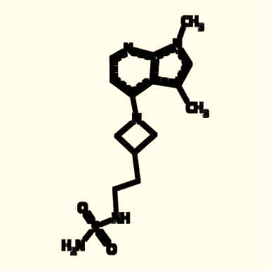 Cc1cn(C)c2nccc(N3CC(CCNS(N)(=O)=O)C3)c12